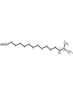 CCCCCCCCCCCCCCCCCCCCNN(C)C